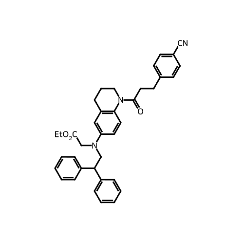 CCOC(=O)CN(CC(c1ccccc1)c1ccccc1)c1ccc2c(c1)CCCN2C(=O)CCc1ccc(C#N)cc1